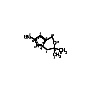 CC1(C)Cn2nc(C(C)(C)C)cc2CO1